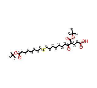 CC(C)(C)OC(=O)CCCCCCCSCCCCCCCC(=O)C(CCC(=O)O)C(=O)OC(C)(C)C